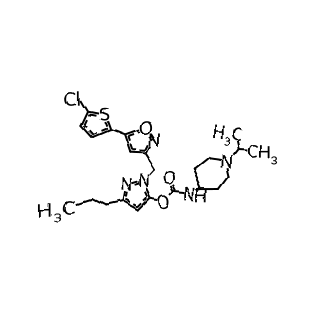 CCCc1cc(OC(=O)NC2CCN(C(C)C)CC2)n(Cc2cc(-c3ccc(Cl)s3)on2)n1